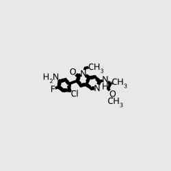 CCn1c(=O)c(-c2cc(N)c(F)cc2Cl)cc2cnc(N[C@@H](C)COC)cc21